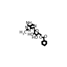 Cc1nc(N)c2cnn([C@@H]3OC(COC(=O)c4ccccc4)[C@@H](O)[C@H]3O)c2n1